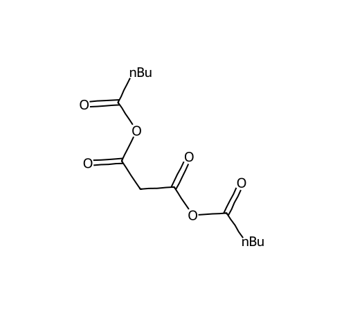 CCCCC(=O)OC(=O)CC(=O)OC(=O)CCCC